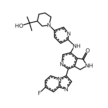 CC(C)(O)C1CCCN(c2ccc(Nc3cnc(-c4cnc5cc(F)ccn45)c4c3C(=O)NC4)nc2)C1